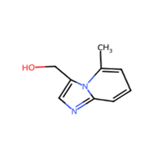 Cc1cccc2ncc(CO)n12